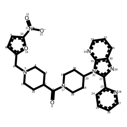 O=C(C1CCN(Cc2ccc([N+](=O)[O-])o2)CC1)N1CCC(n2c(-c3ccccn3)nc3cccnc32)CC1